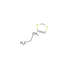 C1=CSCS1.CCC